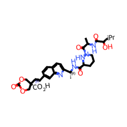 CC(NC(=O)C(O)C(C)C)C(=O)N1CCCC(C(=O)N[C@H](C)c2ccc3ccc(/C=C/C4(C(=O)O)COC(=O)OC4)cc3n2)N1